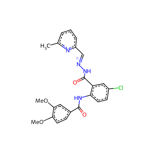 COc1ccc(C(=O)Nc2ccc(Cl)cc2C(=O)N/N=C/c2cccc(C)n2)cc1OC